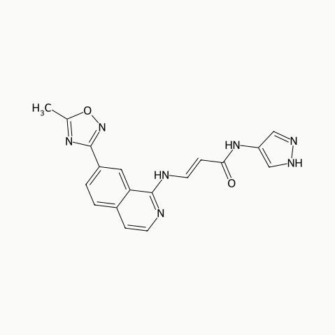 Cc1nc(-c2ccc3ccnc(NC=CC(=O)Nc4cn[nH]c4)c3c2)no1